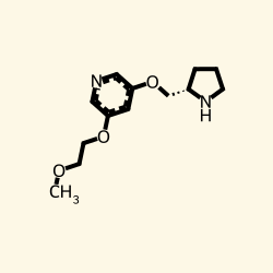 COCCOc1cncc(OC[C@@H]2CCCN2)c1